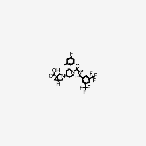 Cc1cc(F)ccc1[C@H]1C[C@@H](N2C[C@H]3C[C@@]3(C(=O)O)C2)CCN1C(=O)N(C)[C@@H](C)c1cc(C(F)(F)F)cc(C(F)(F)F)c1